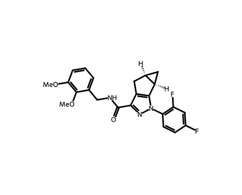 COc1cccc(CNC(=O)c2nn(-c3ccc(F)cc3F)c3c2C[C@H]2C[C@@H]32)c1OC